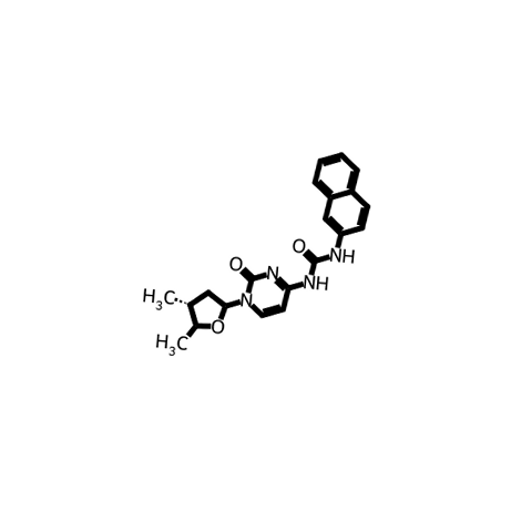 CC1OC(n2ccc(NC(=O)Nc3ccc4ccccc4c3)nc2=O)C[C@H]1C